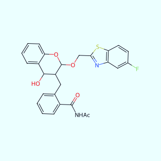 CC(=O)NC(=O)c1ccccc1CC1C(OCc2nc3cc(F)ccc3s2)Oc2ccccc2C1O